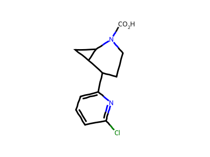 O=C(O)N1CCC(c2cccc(Cl)n2)C2CC21